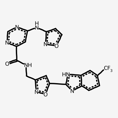 O=C(NCc1cc(-c2nc3ccc(C(F)(F)F)cc3[nH]2)on1)c1cc(Nc2ccon2)ncn1